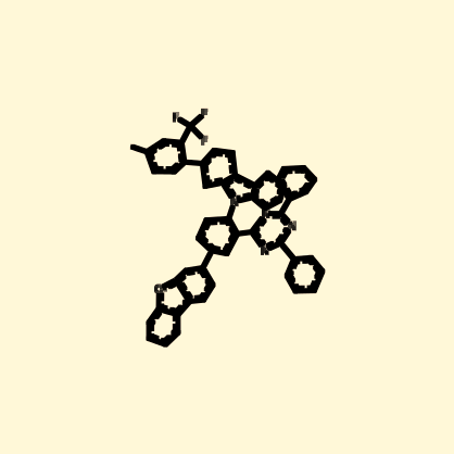 Cc1ccc(-c2ccc3c4ccccc4n(-c4ccc(-c5ccc6c(c5)oc5ccccc56)cc4-c4nc(-c5ccccc5)nc(-c5ccccc5)n4)c3c2)c(C(F)(F)F)c1